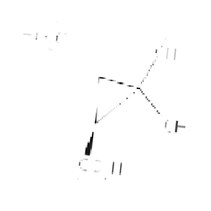 CC1(C)[C@@H](C(=O)O)[C@@H]1C(=O)O